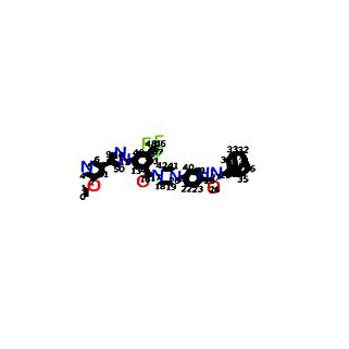 CCOc1cncc(-c2cnn(-c3cc(C(=O)N4CCN(c5ccc(C(=O)NCC67CC8CC(CC(C8)C6)C7)cc5)CC4)cc(C(F)(F)F)c3)c2)c1